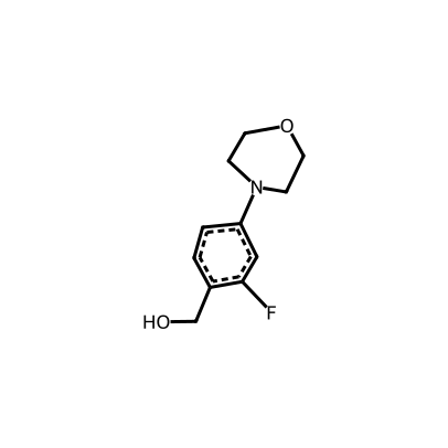 OCc1ccc(N2CCOCC2)cc1F